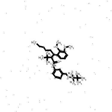 CCCCCC(c1cccc(OC)c1OC)C(C(=O)Nc1cccc(CO[Si](C)(C)C(C)(C)C)c1)C(C)(C)C